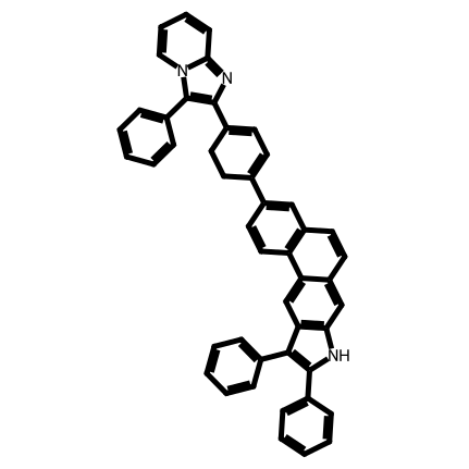 C1=C(c2ccc3c(ccc4cc5[nH]c(-c6ccccc6)c(-c6ccccc6)c5cc43)c2)CCC(c2nc3ccccn3c2-c2ccccc2)=C1